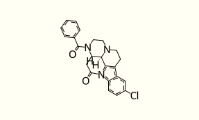 O=C(c1ccccc1)N1CCN2CCc3c4n(c5ccc(Cl)cc35)C(=O)C[C@@H]1[C@H]42